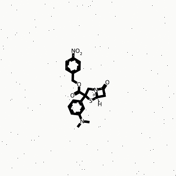 CN(C)c1cccc(C2(C(=O)OCc3ccc([N+](=O)[O-])cc3)CN3C(=O)C[C@H]3S2)c1